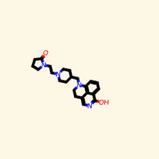 O=C1CCCN1CCN1CCC(CN2CCc3cnc(O)c4cccc2c34)CC1